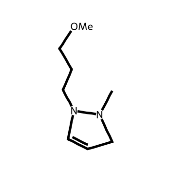 COCCCN1C=CCN1C